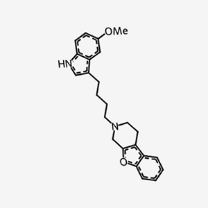 COc1ccc2[nH]cc(CCCCN3CCc4c(oc5ccccc45)C3)c2c1